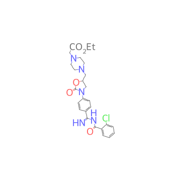 CCOC(=O)CN1CCN(CC2CN(c3ccc(C(=N)NC(=O)c4ccccc4Cl)cc3)C(=O)O2)CC1